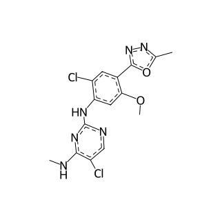 CNc1nc(Nc2cc(OC)c(-c3nnc(C)o3)cc2Cl)ncc1Cl